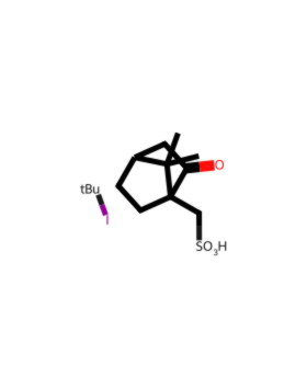 CC(C)(C)I.CC1(C)C2CCC1(CS(=O)(=O)O)C(=O)C2